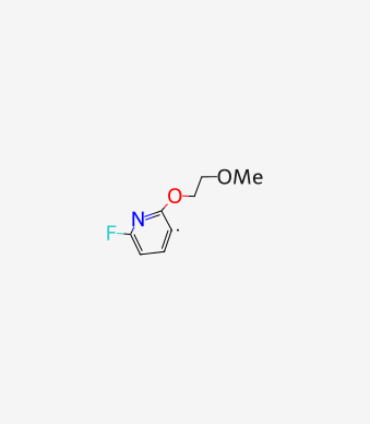 COCCOc1[c]ccc(F)n1